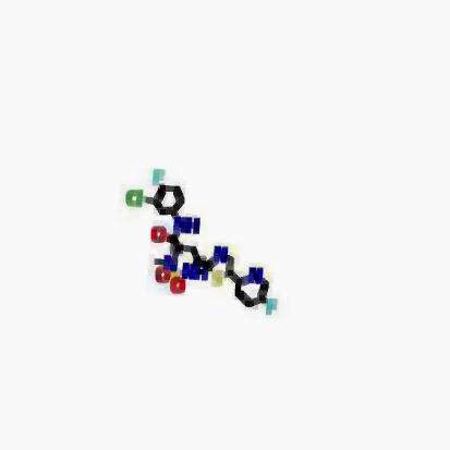 CN1[C@@H](C(=O)Nc2ccc(F)c(Cl)c2)C[C@@H](c2ncc(-c3ccc(F)cn3)s2)NS1(=O)=O